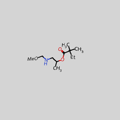 CCC(C)(C)C(=O)OC(C)CNCOC